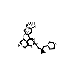 O=C(O)N1C[C@@H]2CC[C@H]1CN2c1nc(OCC2(CN3CCOCC3)CC2)nc2c1CCNC2